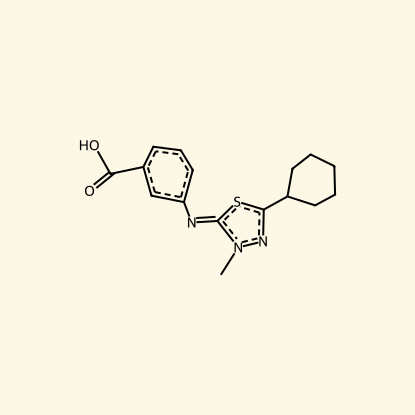 Cn1nc(C2CCCCC2)sc1=Nc1cccc(C(=O)O)c1